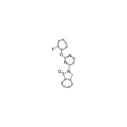 [O-][S+]1c2ccccc2CN1c1ccnc(Oc2ccccc2F)n1